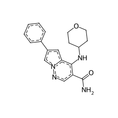 NC(=O)c1cnn2cc(-c3ccccc3)cc2c1NC1CCOCC1